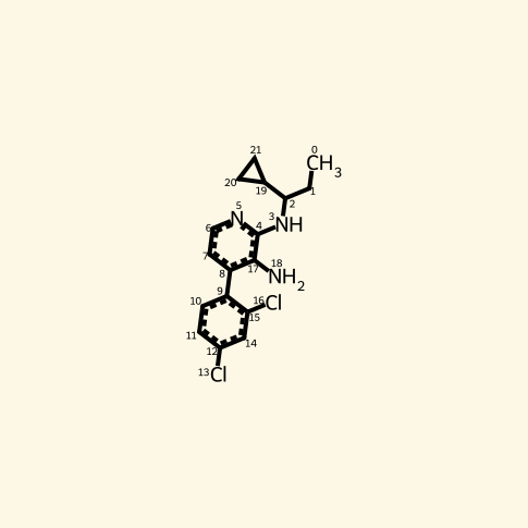 CCC(Nc1nccc(-c2ccc(Cl)cc2Cl)c1N)C1CC1